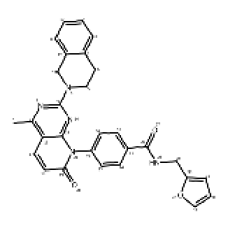 Cc1nc(N2CCc3ccccc3C2)nc2c1ccc(=O)n2-c1ccc(C(=O)NCc2ccco2)cc1